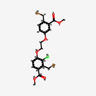 COC(=O)c1cc(OCCOc2ccc(C(=O)OC)c(CBr)c2Cl)ccc1CBr